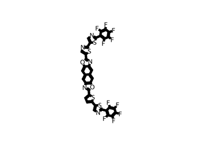 Fc1c(F)c(F)c(-c2ncc(-c3ccc(-c4nc5cc6cc7oc(-c8cnc(-c9cnc(-c%10c(F)c(F)c(F)c(F)c%10F)s9)s8)nc7cc6cc5o4)s3)s2)c(F)c1F